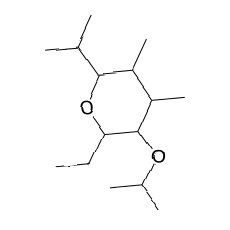 CCC1OC(C(C)C)C(C)C(C)C1OC(C)C